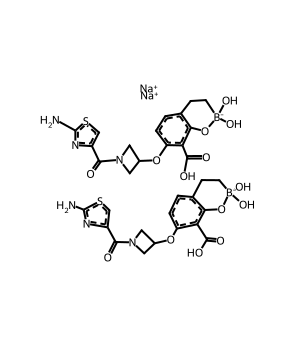 Nc1nc(C(=O)N2CC(Oc3ccc4c(c3C(=O)O)O[B-](O)(O)CC4)C2)cs1.Nc1nc(C(=O)N2CC(Oc3ccc4c(c3C(=O)O)O[B-](O)(O)CC4)C2)cs1.[Na+].[Na+]